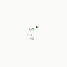 B.Cl.Cl.Cl.[H+]